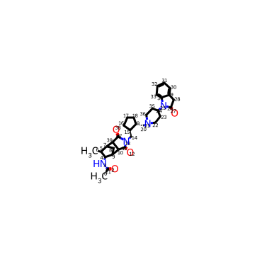 CC(=O)NC1C(C)C2CC1C1C(=O)N(C[C@H]3CCC[C@@H]3CN3CCC(N4C(=O)Cc5ccccc54)CC3)C(=O)C21